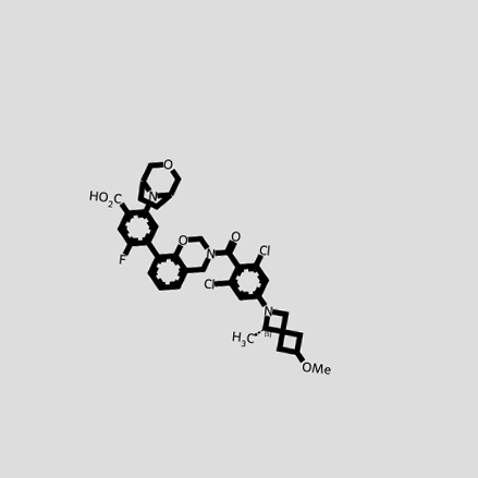 COC1CC2(C1)CN(c1cc(Cl)c(C(=O)N3COc4c(cccc4-c4cc(N5C6CCC5COC6)c(C(=O)O)cc4F)C3)c(Cl)c1)[C@H]2C